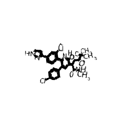 CNC(=O)c1c(C(=O)C(C)(C)C)oc2nc(-c3ccc(-c4cc[nH]n4)cc3Cl)c(-c3ccc(Cl)cc3)cc12